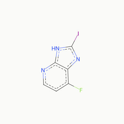 Fc1ccnc2[nH]c(I)nc12